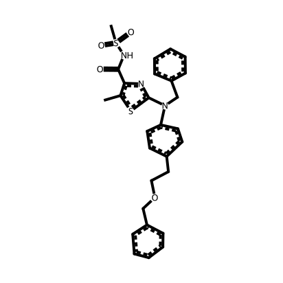 Cc1sc(N(Cc2ccccc2)c2ccc(CCOCc3ccccc3)cc2)nc1C(=O)NS(C)(=O)=O